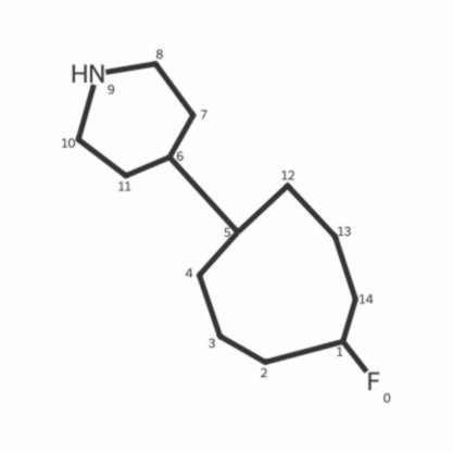 FC1CCCC(C2CCNCC2)CCC1